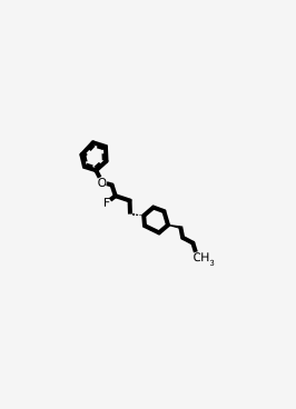 CCCC[C@H]1CC[C@H](CCC(F)COc2ccccc2)CC1